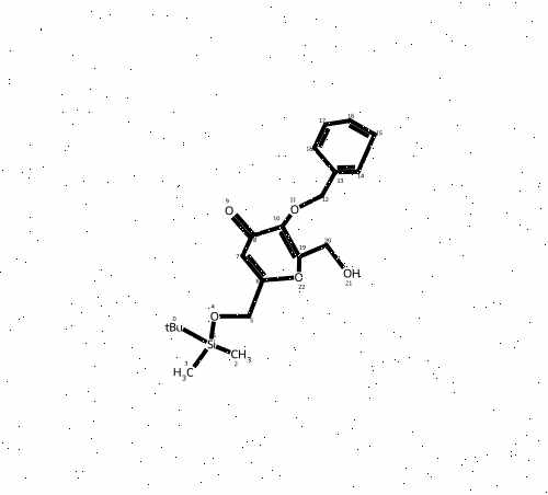 CC(C)(C)[Si](C)(C)OCc1cc(=O)c(OCc2ccccc2)c(CO)o1